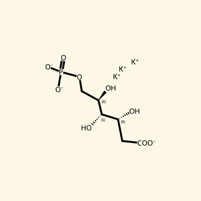 O=C([O-])C[C@@H](O)[C@H](O)[C@H](O)COP(=O)([O-])[O-].[K+].[K+].[K+]